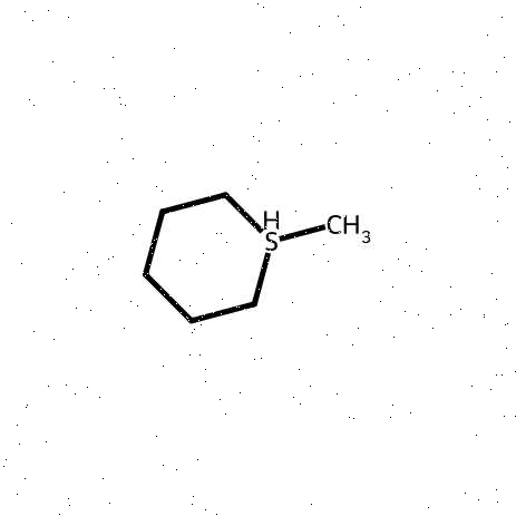 C[SH]1CCCCC1